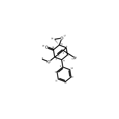 COC12C=C(Br)C(CC1c1ccccc1)[C@@]1(CO1)C2=O